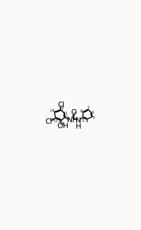 O=C(Nc1ccccc1)Nc1cc(Cl)cc(Cl)c1O